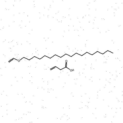 C=CCC(=O)O.C=COCCCCCCCCCCCCCCCCCC